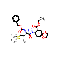 CCOC(=O)[C@@H]1CC2(CC[C@@H]1NC(=O)[C@H](CCS(C)(C)C)NC(=O)OCc1ccccc1)OCCO2